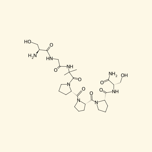 CC(C)(NC(=O)CNC(=O)[C@@H](N)CO)C(=O)N1CCC[C@H]1C(=O)N1CCC[C@H]1C(=O)N1CCC[C@H]1C(=O)N[C@@H](CO)C(N)=O